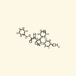 Cc1ccc(-c2noc(NC(=O)CCc3ccccc3)c2-c2ccncc2)cc1